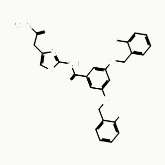 CNC(=O)Cc1csc(NC(=O)c2cc(OCc3ccccc3Cl)cc(OCc3ccccc3Cl)c2)n1